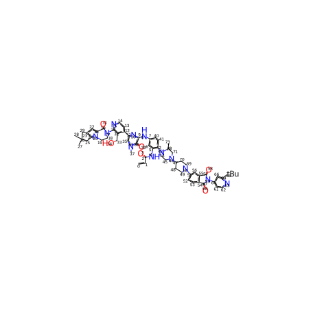 C=CC(=O)Nc1cc(Nc2nc(-c3ccnc(N4CCn5c(cc6c5CC(C)(C)C6)C4=O)c3CO)cn(C)c2=O)ccc1N1CCN(C2CCN(c3ccc4c(c3)C(=O)N(c3ccnc(C(C)(C)C)c3)C4=O)CC2)C[C@@H]1C